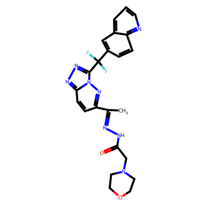 C/C(=N\NC(=O)CN1CCOCC1)c1ccc2nnc(C(F)(F)c3ccc4ncccc4c3)n2n1